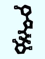 O=C(NS(=O)(=O)c1c(Cl)cccc1Cl)c1cn(-c2cccc(Cl)c2)cn1